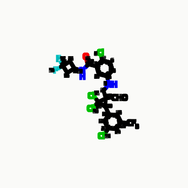 O=CC1(CNc2ccc(Cl)c(C(=O)NC3CC(F)(F)C3)c2)C(c2cc(Cl)cc(C(F)(F)F)c2)C1(Cl)Cl